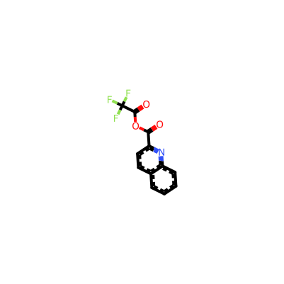 O=C(OC(=O)C(F)(F)F)c1ccc2ccccc2n1